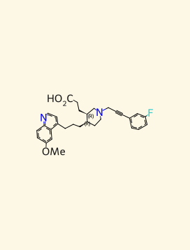 COc1ccc2nccc(CCC[C@@H]3CCN(CC#Cc4cccc(F)c4)C[C@@H]3CCC(=O)O)c2c1